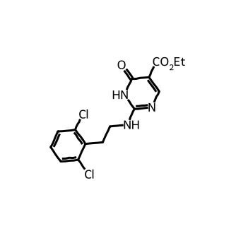 CCOC(=O)c1cnc(NCCc2c(Cl)cccc2Cl)[nH]c1=O